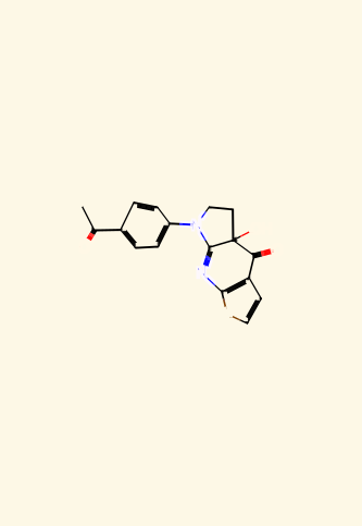 CC(=O)c1ccc(N2CCC3(O)C(=O)c4ccsc4N=C23)cc1